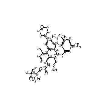 CC[C@@H]1C[C@H](N(Cc2cc(C(F)(F)F)cc(C(F)(F)F)c2)c2ccc(N3CCOCC3)cn2)c2cc(C)ccc2N1C(=O)OCC(C)(C)C(=O)O